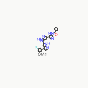 COc1cc(F)cc(-c2ccnc3[nH]c(-c4n[nH]c5ncc(-c6cncc(NC(=O)C7CCCC7)c6)cc45)cc23)c1